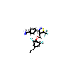 CCCc1cc(F)c(OCc2c(-c3ccc(C#N)cc3)nsc2C(F)(F)F)c(F)c1